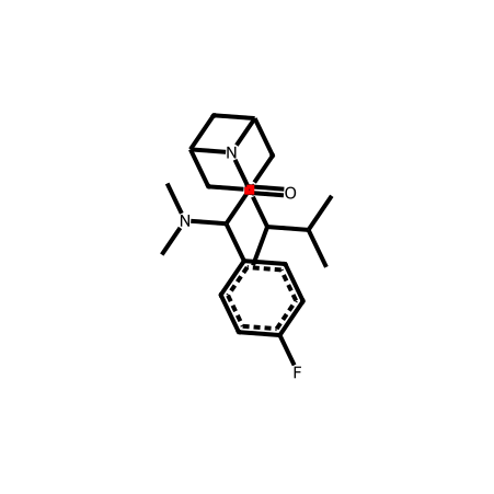 CC(C)C(C)N1CC2CC(C1)N2C(=O)C(c1ccc(F)cc1)N(C)C